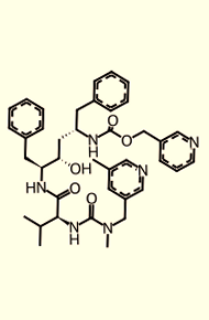 Cc1cncc(CN(C)C(=O)N[C@H](C(=O)N[C@@H](Cc2ccccc2)[C@@H](O)C[C@H](Cc2ccccc2)NC(=O)OCc2cccnc2)C(C)C)c1